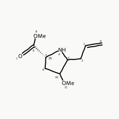 C=CCC1N[C@@H](C(=O)OC)CC1OC